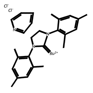 Cc1cc(C)c(N2CCN(c3c(C)cc(C)cc3C)[C]2=[Ru+2])c(C)c1.[Cl-].[Cl-].c1ccncc1